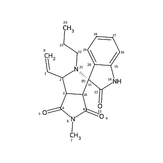 C=CC1C2C(=O)N(C)C(=O)C2[C@@]2(C(=O)Nc3ccccc32)N1CCC